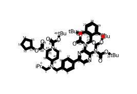 CC(C)CN(Cc1ccc(-c2cnc(N(C(=O)OC(C)(C)C)C(=O)OC(C)(C)C)c(N(Cc3c(Cl)cccc3Cl)C(=O)OC(C)(C)C)n2)cc1)C1CCN(C(=O)OC(C)(C)C)[C@@H](C(=O)OC2CCCC2)C1